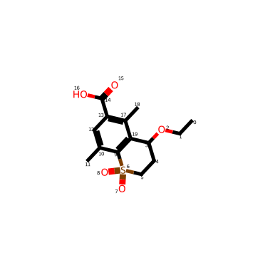 CCOC1CCS(=O)(=O)c2c(C)cc(C(=O)O)c(C)c21